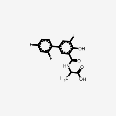 CC(NC(=O)c1cc(-c2ccc(F)cc2F)cc(I)c1O)C(=O)O